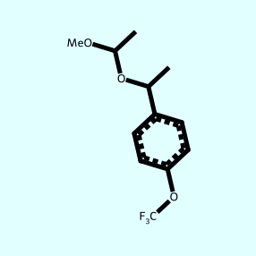 COC(C)OC(C)c1ccc(OC(F)(F)F)cc1